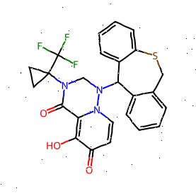 O=C1c2c(O)c(=O)ccn2N(C2c3ccccc3CSc3ccccc32)CN1C1(C(F)(F)F)CC1